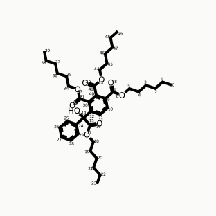 CCCCCCOC(=O)c1ccc(C(O)(C(=O)OCCCCCC)c2ccccc2)c(C(=O)OCCCCCC)c1C(=O)OCCCCCC